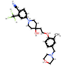 Cc1cc(CN2CCOCC2)ccc1OCCC1(O)CCN(c2ccc(C#N)c(C(F)(F)F)c2)CC1